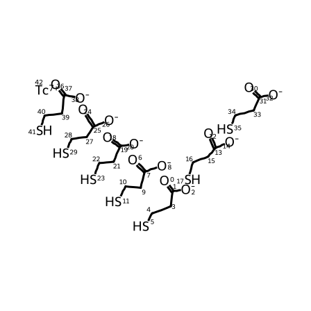 O=C([O-])CCS.O=C([O-])CCS.O=C([O-])CCS.O=C([O-])CCS.O=C([O-])CCS.O=C([O-])CCS.O=C([O-])CCS.[Tc+7]